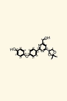 CC1(C)OC[C@H](c2cc(CO)nc(-c3ccc(Oc4ccc(O)cc4)cc3)n2)O1